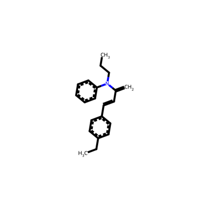 C=C(/C=C/c1ccc(CC)cc1)N(CCC)c1ccccc1